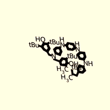 Cc1cc(CN(Cc2cc(C(C)(C)C)c(O)c(C(C)(C)C)c2)c2ccc(Nc3ccc(Nc4ccc(Nc5ccc(CC(C)CC(C)(C)C)cc5)cc4)cc3)cc2)cc(C(C)(C)C)c1O